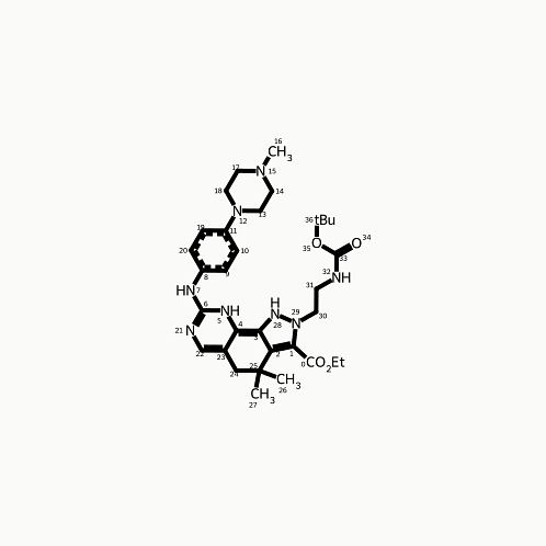 CCOC(=O)C1=C2C(=C3NC(Nc4ccc(N5CCN(C)CC5)cc4)=NC=C3CC2(C)C)NN1CCNC(=O)OC(C)(C)C